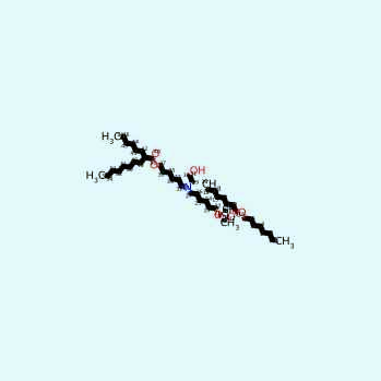 CCCCCCCCOC(CCCCCCC)O[Si](C)(C)OCCCCCCN(CCO)CCCCCCOC(=O)C(CCCCCC)CCCCCCCC